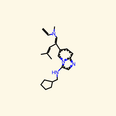 C=CN(C)/C=C(\C=C(C)C)c1ccc2ncc(NCC3CCCC3)n2c1